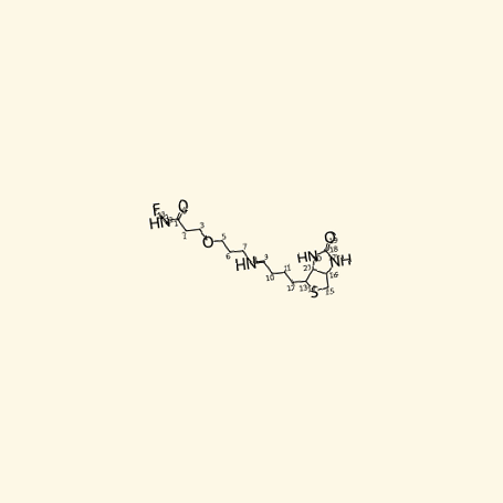 O=C(CCOCCCNCCCCC1SCC2NC(=O)NC21)NF